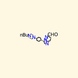 CCCCN1CCN(c2ccc(-c3cnc4ccc(C=O)nn34)cc2)CC1